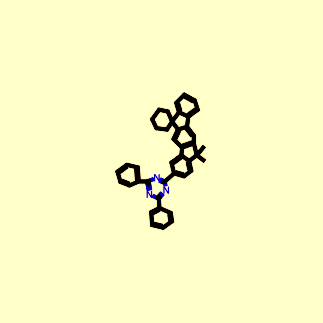 CC1(C)c2ccc(-c3nc(-c4ccccc4)nc(-c4ccccc4)n3)cc2-c2cc3c(cc21)-c1ccccc1C31CCCCC1